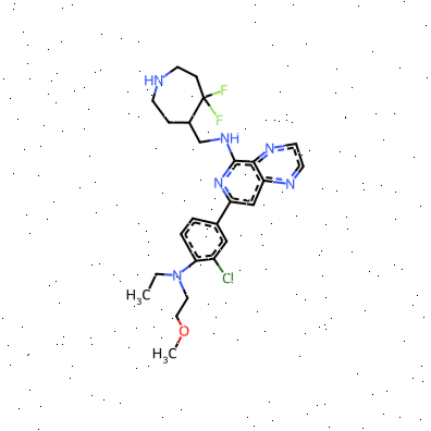 CCN(CCOC)c1ccc(-c2cc3nccnc3c(NCC3CCNCCC3(F)F)n2)cc1Cl